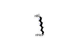 [CH2]CCCCCCCC/C=C/C=C/CCCC